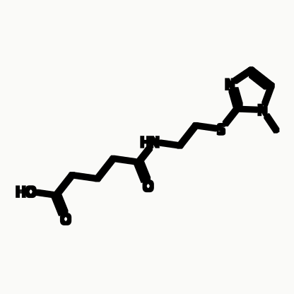 Cn1ccnc1SCCNC(=O)CCCC(=O)O